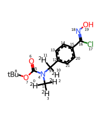 [2H]C([2H])([2H])N(C(=O)OC(C)(C)C)C([2H])([2H])c1ccc(/C(Cl)=N/O)cc1